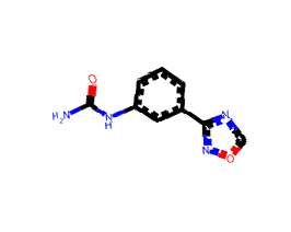 NC(=O)Nc1cccc(-c2ncon2)c1